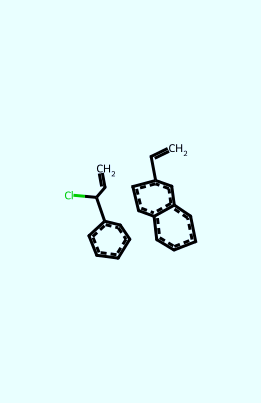 C=CC(Cl)c1ccccc1.C=Cc1ccc2ccccc2c1